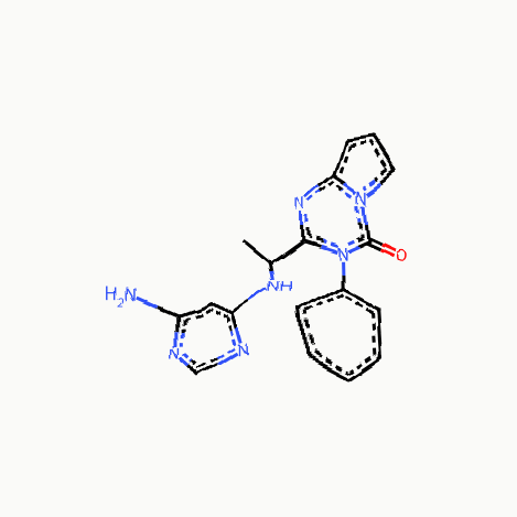 CC(Nc1cc(N)ncn1)c1nc2cccn2c(=O)n1-c1ccccc1